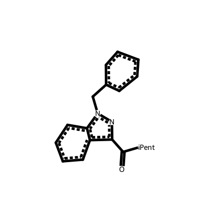 CCCC(C)C(=O)c1nn(Cc2ccccc2)c2ccccc12